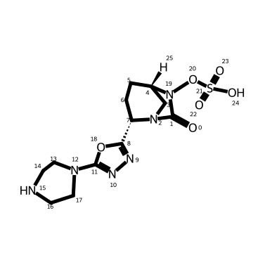 O=C1N2C[C@H](CC[C@H]2c2nnc(N3CCNCC3)o2)N1OS(=O)(=O)O